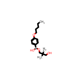 CCCCCOc1ccc(B(O)OCC(C)(C)CO)cc1